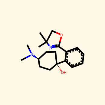 CN(C)[C@H]1CC[C@@](O)(c2ccccc2C2=NC(C)(C)CO2)CC1